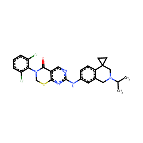 CC(C)N1Cc2cc(Nc3ncc4c(n3)SCN(c3c(Cl)cccc3Cl)C4=O)ccc2C2(CC2)C1